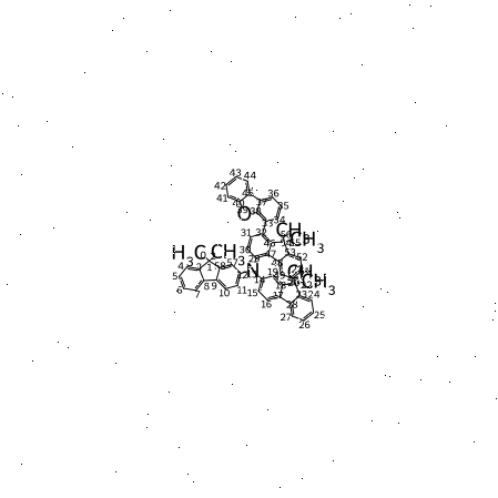 CC1(C)c2ccccc2-c2ccc(N(c3ccc4c(c3)C(C)(C)c3ccccc3-4)c3ccc(-c4cccc5c4oc4ccccc45)c4c3-c3ccccc3C4(C)C)cc21